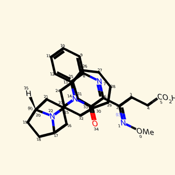 CO/N=C(\CCC(=O)O)c1nc2ccccc2n(C2CC3CC[C@H](C2)N3C2CC3CCCCC(C3)C2)c1=O